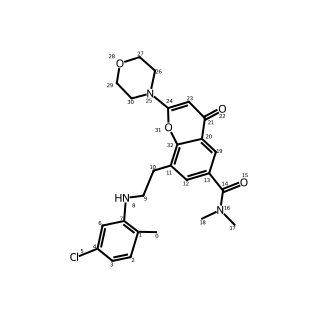 Cc1ccc(Cl)cc1NCCc1cc(C(=O)N(C)C)cc2c(=O)cc(N3CCOCC3)oc12